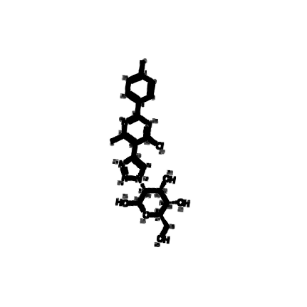 Cc1ccc(-c2nc(C)c(-c3cn([C@H]4C(O)O[C@H](CO)[C@@H](O)[C@@H]4O)nn3)c(Cl)n2)cc1